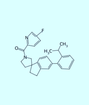 CC(C)c1ccccc1-c1ccc2c(c1)CCC21CCN(C(=O)c2ccc(F)cn2)C1